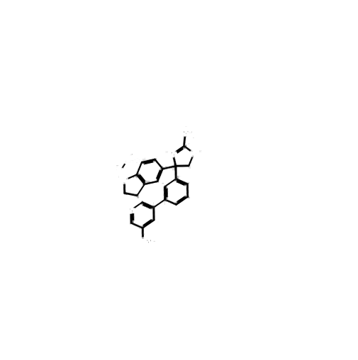 COc1cncc(-c2cccc(C3(c4ccc5c(c4)CCO5)COC(N)=N3)c2)c1.O=CO